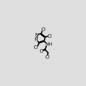 O=C(CCl)Nc1c(Cl)nnc(Cl)c1Cl